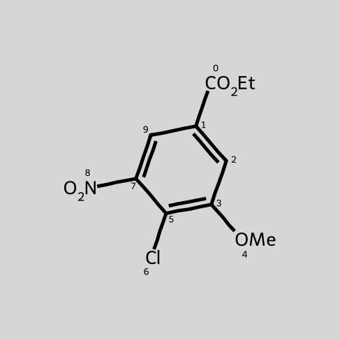 CCOC(=O)c1cc(OC)c(Cl)c([N+](=O)[O-])c1